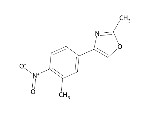 Cc1nc(-c2ccc([N+](=O)[O-])c(C)c2)co1